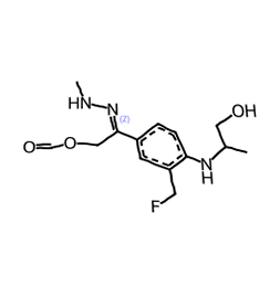 CN/N=C(\COC=O)c1ccc(NC(C)CO)c(CF)c1